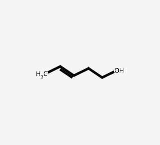 C/C=C/[CH]CO